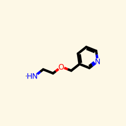 [NH]CCOCc1cccnc1